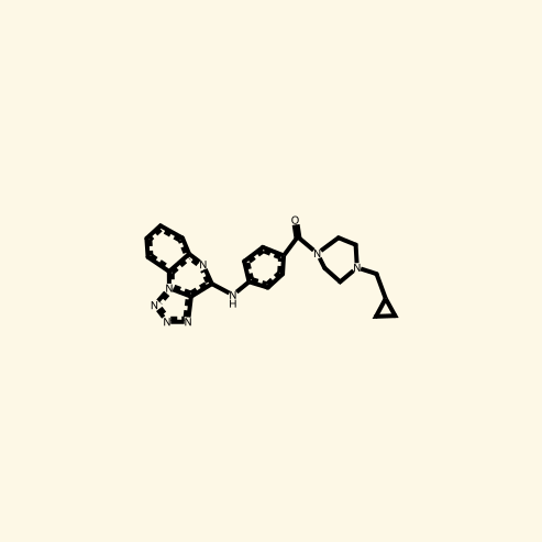 O=C(c1ccc(Nc2nc3ccccc3n3nnnc23)cc1)N1CCN(CC2CC2)CC1